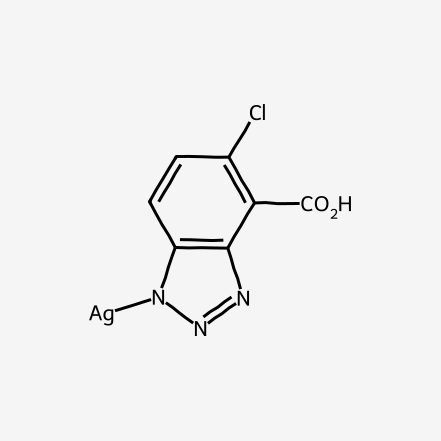 O=C(O)c1c(Cl)ccc2c1nn[n]2[Ag]